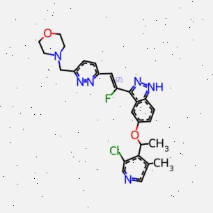 Cc1cncc(Cl)c1C(C)Oc1ccc2[nH]nc(/C(F)=C/c3ccc(CN4CCOCC4)nn3)c2c1